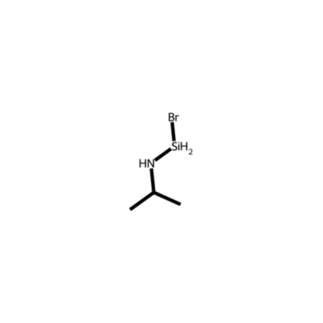 CC(C)N[SiH2]Br